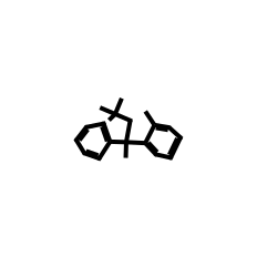 Cc1ccccc1C(C)(CC(C)(C)C)c1ccccc1